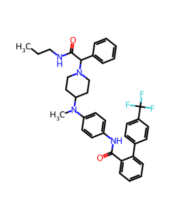 CCCNC(=O)C(c1ccccc1)N1CCC(N(C)c2ccc(NC(=O)c3ccccc3-c3ccc(C(F)(F)F)cc3)cc2)CC1